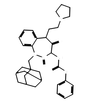 O=C(Nc1ccccc1)NC1C(=O)C(CCN2CCCC2)c2ccccc2N(CC23CC4CC(CC(C4)C2)C3)[N+]1=O